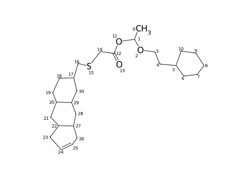 CC(OCCC1CCCCC1)OC(=O)CSCC1CCC2CC3CC=CCC3CC2C1